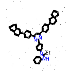 CCC1Nc2ccccc2N1c1ccc(-c2nc(-c3ccc(-c4ccc5ccccc5c4)cc3)cc(-c3ccc(-c4ccc5ccccc5c4)cc3)n2)cc1